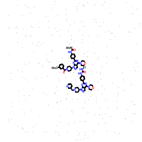 CCNC(=O)Nc1ccc(-c2nc(N3CCOCC3)c3cnn(C4CCN(Cc5cccnc5)CC4)c3n2)cc1.CNC(=O)Nc1ccc(-c2nc(N3CCOCC3)c3cnn(C4CCN(C(=O)c5cccc(OC)c5)CC4)c3n2)cc1